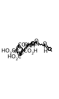 Cc1ccc(CNC(=O)CCCCNC(=O)c2ccc(CNC(=O)CCC(C(=O)O)N3CCN(CC(=O)O)CCN(CC(=O)O)CCN(CC(=O)O)CC3)cc2)cc1